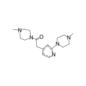 CN1CCN(C(=O)Cc2ccnc(N3CCN(C)CC3)c2)CC1